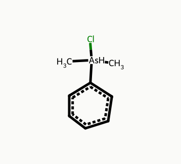 C[AsH](C)(Cl)c1ccccc1